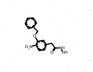 CCCNC(=O)Cc1ccc([N+](=O)[O-])c(OCc2ccccc2)c1